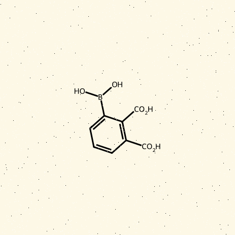 O=C(O)c1cccc(B(O)O)c1C(=O)O